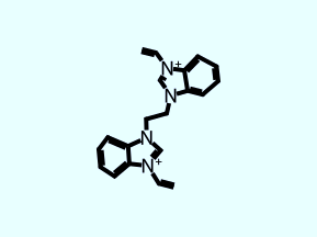 C=C[n+]1cn(CCn2c[n+](C=C)c3ccccc32)c2ccccc21